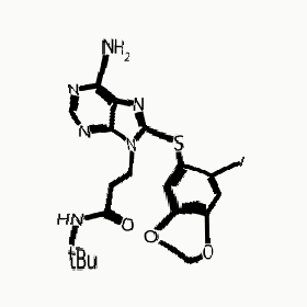 CC(C)(C)NC(=O)CCn1c(Sc2cc3c(cc2I)OCO3)nc2c(N)ncnc21